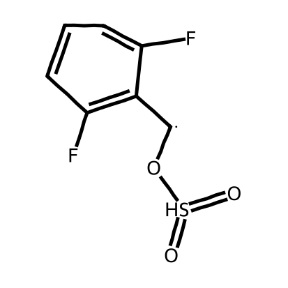 O=[SH](=O)O[CH]c1c(F)cccc1F